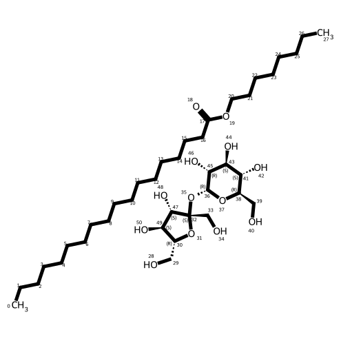 CCCCCCCCCCCCCCCCCC(=O)OCCCCCCCC.OC[C@H]1O[C@@](CO)(O[C@H]2O[C@H](CO)[C@@H](O)[C@H](O)[C@H]2O)[C@@H](O)[C@@H]1O